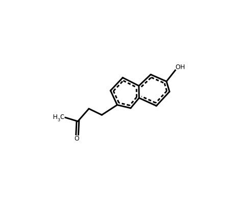 CC(=O)CCc1ccc2cc(O)ccc2c1